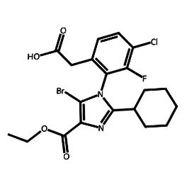 CCOC(=O)c1nc(C2CCCCC2)n(-c2c(CC(=O)O)ccc(Cl)c2F)c1Br